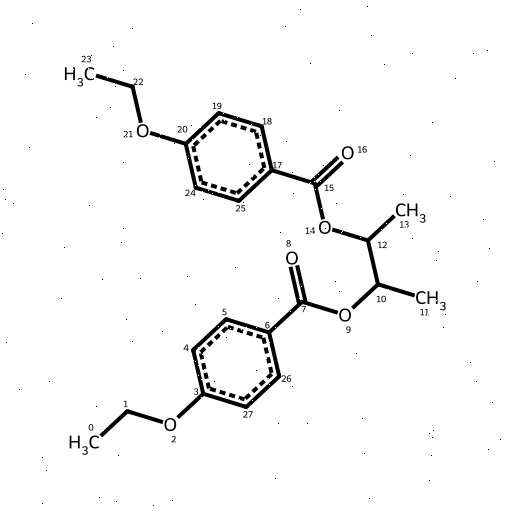 CCOc1ccc(C(=O)OC(C)C(C)OC(=O)c2ccc(OCC)cc2)cc1